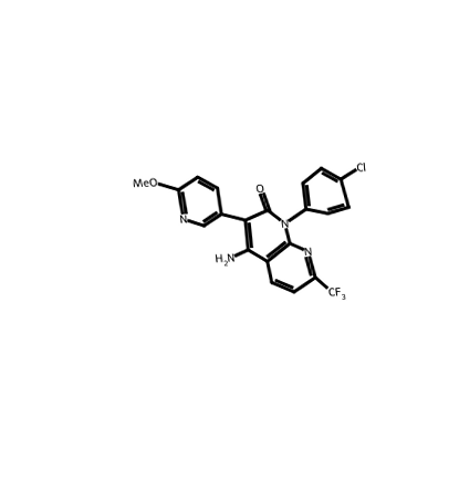 COc1ccc(-c2c(N)c3ccc(C(F)(F)F)nc3n(-c3ccc(Cl)cc3)c2=O)cn1